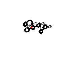 CC1/C=C\C=C/Cc2ccccc2N1C1=C(C2C=CC(C3CC(n4c5ccccc5c5cc(C#N)ccc54)=C(C#N)C=C3C#N)=CC2)CC=CC=C1